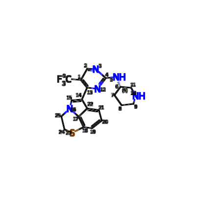 FC(F)(F)c1cnc(N[C@H]2CCCNC2)nc1-c1cn2c3c(cccc13)SCC2